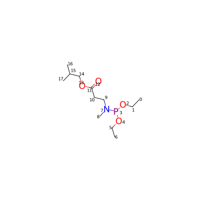 CCOP(OCC)N(C)CCC(=O)OCC(C)C